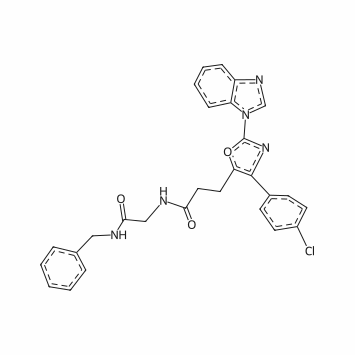 O=C(CCc1oc(-n2cnc3ccccc32)nc1-c1ccc(Cl)cc1)NCC(=O)NCc1ccccc1